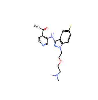 COC(=O)c1ccncc1Nc1nn(CCOCCN(C)C)c2ccc(F)cc12